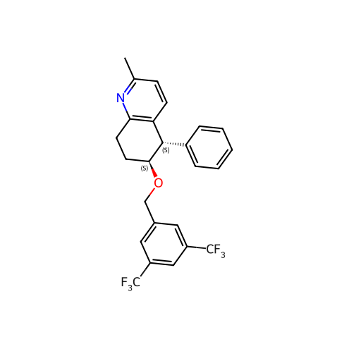 Cc1ccc2c(n1)CC[C@H](OCc1cc(C(F)(F)F)cc(C(F)(F)F)c1)[C@H]2c1ccccc1